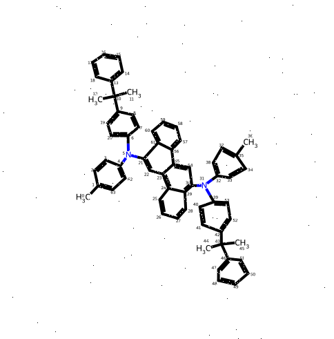 Cc1ccc(N(c2ccc(C(C)(C)c3ccccc3)cc2)c2cc3c4ccccc4c(N(c4ccc(C)cc4)c4ccc(C(C)(C)c5ccccc5)cc4)cc3c3ccccc23)cc1